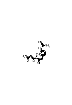 CCC(Cc1csc(NC(=N)N)n1)N(C)C(N)=NC(N)=O